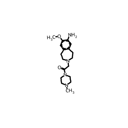 COc1cc2c(cc1N)CCN(CC(=O)N1CCN(C)CC1)CC2